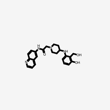 O=C(CN1CCC(Nc2cccc(O)c2CO)CC1)Nc1ccc2ncccc2c1